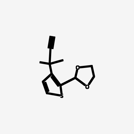 C#CC(C)(C)c1ccsc1C1OCCO1